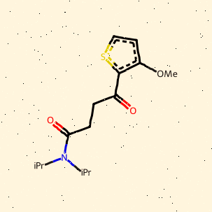 COc1ccsc1C(=O)CCC(=O)N(C(C)C)C(C)C